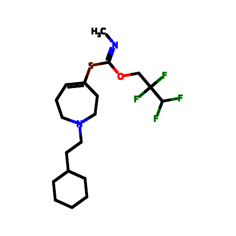 C/N=C(/OCC(F)(F)C(F)F)SC1=CCCN(CCC2CCCCC2)CC1